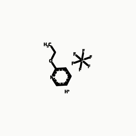 CCOc1ccccn1.F[P-](F)(F)(F)(F)F.[H+]